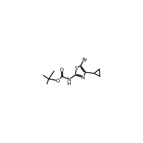 CC(C)(C)OC(=O)Nc1nc(C2CC2)c(Br)s1